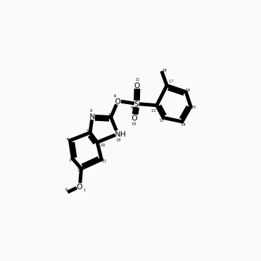 COc1ccc2nc(OS(=O)(=O)c3ccccc3C)[nH]c2c1